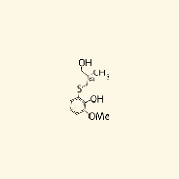 COc1cccc(SC[C@@H](C)CO)c1O